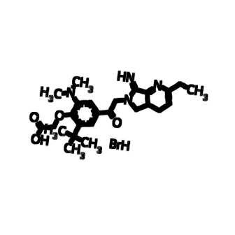 Br.CCC1=CCC2CN(CC(=O)c3cc(N(C)C)c(OCC(=O)O)c(C(C)(C)C)c3)C(=N)C2=N1